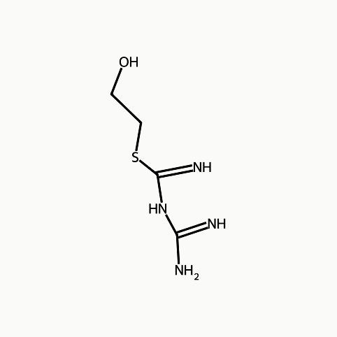 N=C(N)NC(=N)SCCO